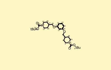 CC(C)(C)OC(=O)N1CCC(COc2cccc(OCC3CCN(C(=O)OC(C)(C)C)CC3)c2)CC1